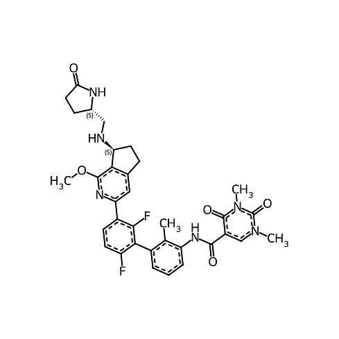 COc1nc(-c2ccc(F)c(-c3cccc(NC(=O)c4cn(C)c(=O)n(C)c4=O)c3C)c2F)cc2c1[C@@H](NC[C@@H]1CCC(=O)N1)CC2